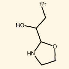 CC(C)CC(O)C1NCCO1